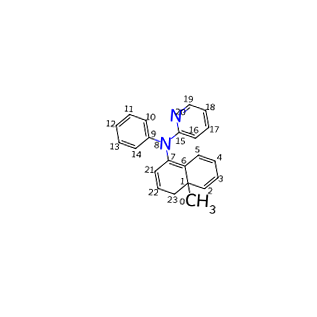 CC12C=CC=CC1=C(N(c1ccccc1)c1ccccn1)C=CC2